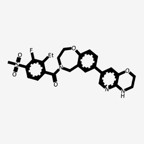 CCc1c(C(=O)N2CCOc3ccc(-c4cnc5c(c4)OCCN5)cc3C2)ccc(S(C)(=O)=O)c1F